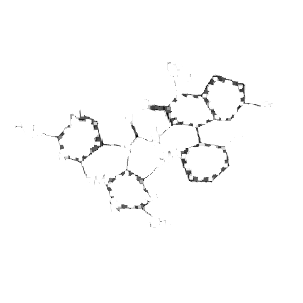 CSc1nc(C)ncc1N(C(=O)Nc1c(-c2ccccc2Cl)c2cc(C(C)C)ccc2n(C)c1=O)c1cnc(C)nc1SC